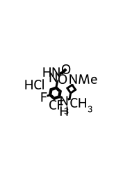 CNC1CC([C@H](C)Nc2cc(-c3n[nH]c(=O)o3)cc(F)c2C(F)(F)F)C1.Cl